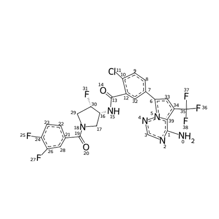 Nc1ncnn2c(-c3ccc(Cl)c(C(=O)N[C@@H]4CN(C(=O)c5ccc(F)c(F)c5)C[C@@H]4F)c3)cc(C(F)(F)F)c12